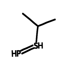 CC(C)[SH]=P